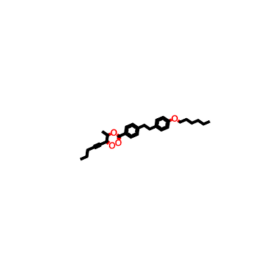 CCCC#CC(=O)C(C)OC(=O)c1ccc(CCc2ccc(OCCCCCC)cc2)cc1